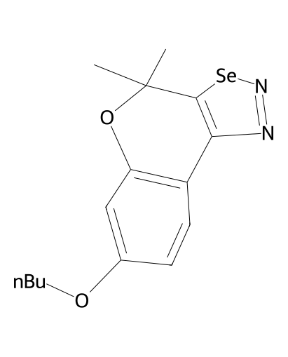 CCCCOc1ccc2c(c1)OC(C)(C)c1[se]nnc1-2